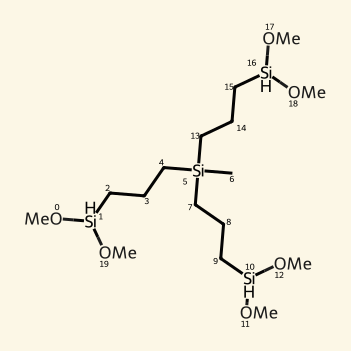 CO[SiH](CCC[Si](C)(CCC[SiH](OC)OC)CCC[SiH](OC)OC)OC